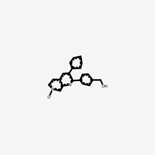 [O-][n+]1ccc2cc(-c3ccccc3)c(-c3ccc(CO)cc3)nc2c1